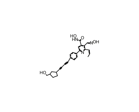 C/C=C\c1nc(-c2ccc(C#CC#CC3CCC(CO)C3)cc2)cc(C(=O)NO)c1/C=N/O